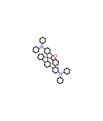 c1ccc(N(c2ccccc2)c2ccc(-c3ccc4c(c3)C3(c5ccccc5-4)c4cc(N(c5ccccc5)c5ccccc5)ccc4-c4oc5ccccc5c43)cc2)cc1